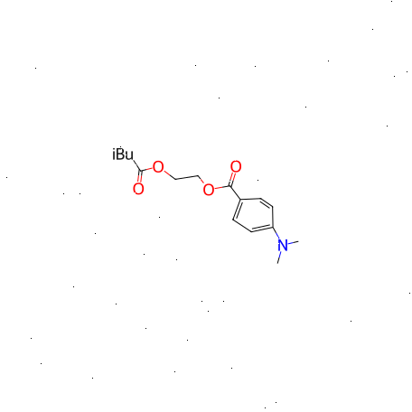 CCC(C)C(=O)OCCOC(=O)c1ccc(N(C)C)cc1